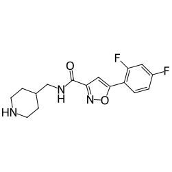 O=C(NCC1CCNCC1)c1cc(-c2ccc(F)cc2F)on1